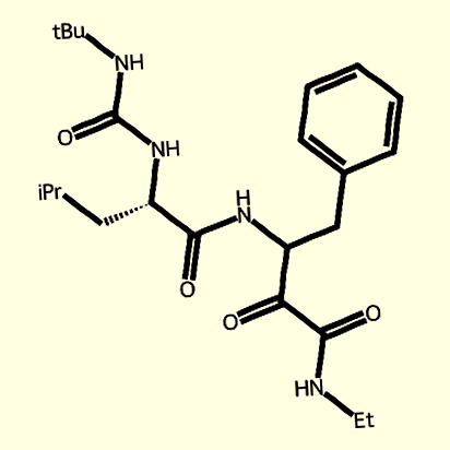 CCNC(=O)C(=O)C(Cc1ccccc1)NC(=O)[C@H](CC(C)C)NC(=O)NC(C)(C)C